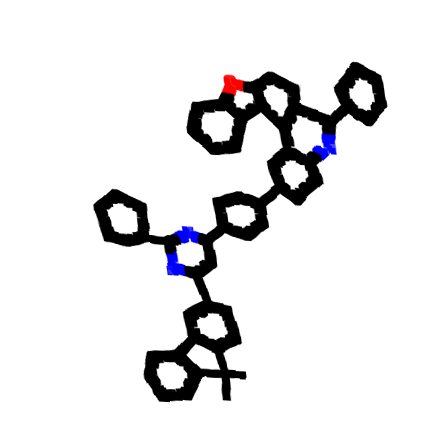 CC1(C)c2ccccc2-c2cc(-c3cc(-c4ccc(-c5ccc6nc(-c7ccccc7)c7ccc8oc9ccccc9c8c7c6c5)cc4)nc(-c4ccccc4)n3)ccc21